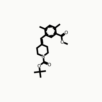 COC(=O)c1cc(C=C2CCN(C(=O)OC(C)(C)C)CC2)c(C)cc1C